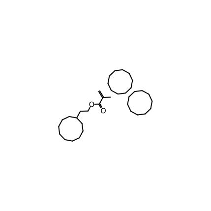 C1CCCCCCCCC1.C1CCCCCCCCC1.C=C(C)C(=O)OCCC1CCCCCCCCC1